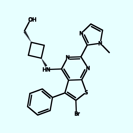 Cn1ccnc1-c1nc(N[C@H]2C[C@@H](CO)C2)c2c(-c3ccccc3)c(Br)sc2n1